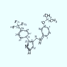 CC(C)Oc1cccc(NCc2c[nH]nc2-c2ccc(C(F)(F)F)cc2)c1